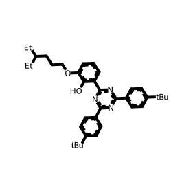 CCC(CC)CCCOc1cccc(-c2nc(-c3ccc(C(C)(C)C)cc3)nc(-c3ccc(C(C)(C)C)cc3)n2)c1O